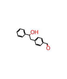 O=Cc1ccc(CC(O)c2ccccc2)cc1